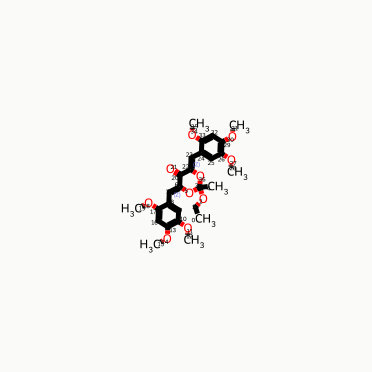 CCOC1(C)O/C(=C\c2cc(OC)c(OC)cc2OC)C(=O)/C(=C/c2cc(OC)c(OC)cc2OC)O1